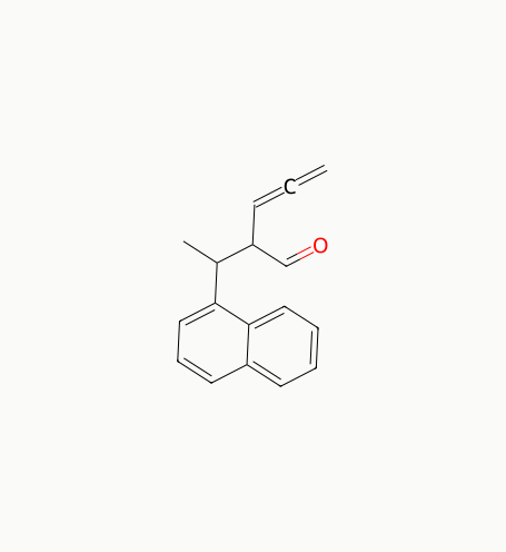 C=C=CC(C=O)C(C)c1cccc2ccccc12